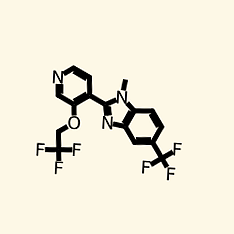 Cn1c(-c2ccncc2OCC(F)(F)F)nc2cc(C(F)(F)F)ccc21